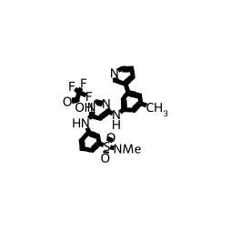 CNS(=O)(=O)c1cccc(Nc2cc(Nc3cc(C)cc(-c4cccnc4)c3)ncn2)c1.O=C(O)C(F)(F)F